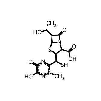 C[C@@H](O)[C@H]1C(=O)N2C(C(=O)O)C(C(S)c3nc(=O)c(O)nn3C)SC12